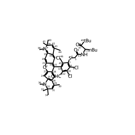 CCCCC(NC(=O)CSc1c(Cl)c(Cl)c(C=O)c(C2=c3cc4c(cc3Oc3cc5c(cc32)C(C)=CC(C)(C)N5C)=[N+](C)C(C)(C)C=C4C)c1Cl)C(=O)C(C)(C)C